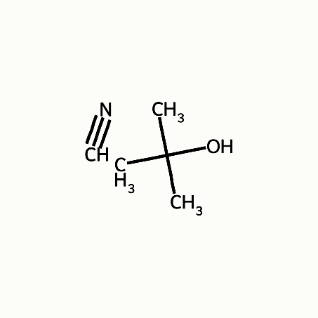 C#N.CC(C)(C)O